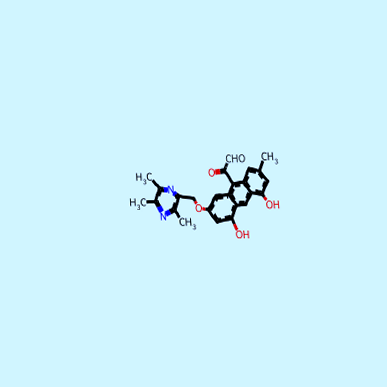 Cc1cc(O)c2cc3c(O)cc(OCc4nc(C)c(C)nc4C)cc3c(C(=O)C=O)c2c1